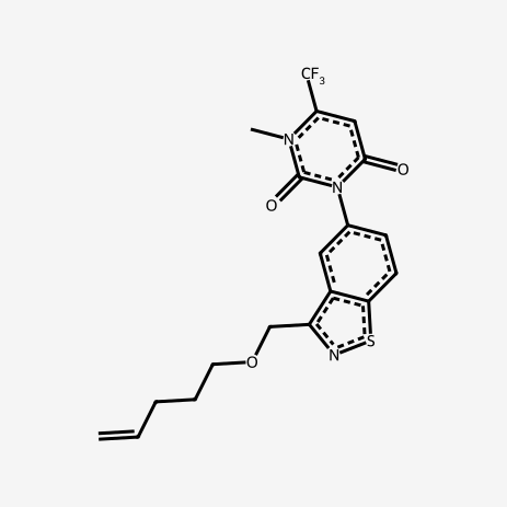 C=CCCCOCc1nsc2ccc(-n3c(=O)cc(C(F)(F)F)n(C)c3=O)cc12